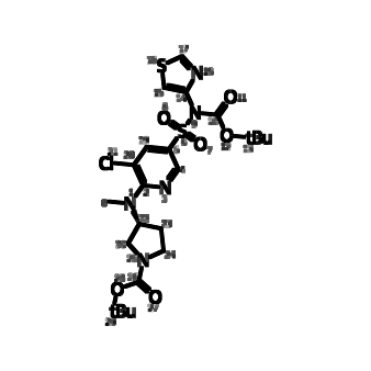 CN(c1ncc(S(=O)(=O)N(C(=O)OC(C)(C)C)c2cscn2)cc1Cl)[C@H]1CCN(C(=O)OC(C)(C)C)C1